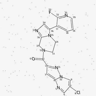 O=C(c1cc2ncc(Cl)cn2n1)N1CCn2c(-c3cccnc3F)cnc2C1